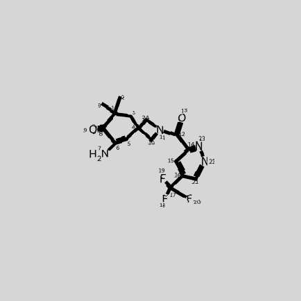 CC1(C)CC2(C=C(N)C1=O)CN(C(=O)c1cc(C(F)(F)F)cnn1)C2